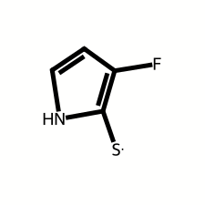 Fc1cc[nH]c1[S]